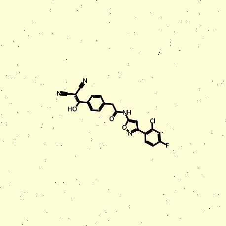 N#CC(C#N)=C(O)c1ccc(CC(=O)Nc2cc(-c3ccc(F)cc3Cl)no2)cc1